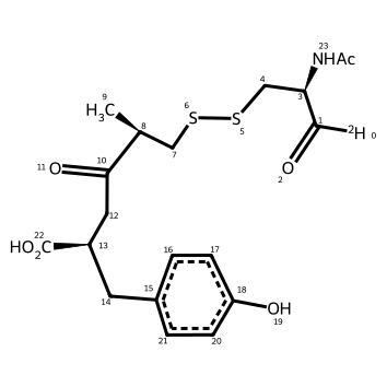 [2H]C(=O)[C@@H](CSSC[C@H](C)C(=O)C[C@@H](Cc1ccc(O)cc1)C(=O)O)NC(C)=O